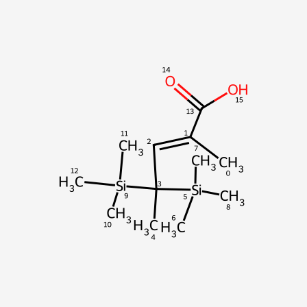 C/C(=C\C(C)([Si](C)(C)C)[Si](C)(C)C)C(=O)O